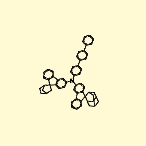 c1ccc(-c2ccc(-c3ccc(N(c4ccc5c(c4)-c4ccccc4C54CC5CCC4C5)c4ccc5c(c4)-c4ccccc4C54C5CC6CC(C5)CC4C6)cc3)cc2)cc1